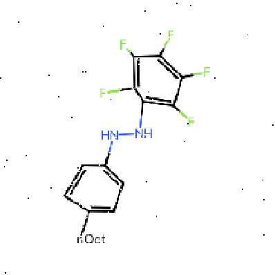 CCCCCCCCc1ccc(NNc2c(F)c(F)c(F)c(F)c2F)cc1